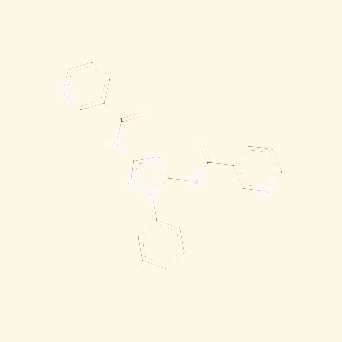 O=C(Nc1nc(NC(=O)c2cccnc2)n(-c2cccc(F)c2)n1)c1cccnc1